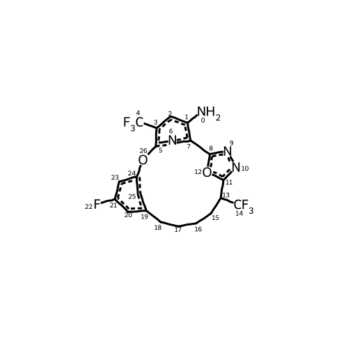 Nc1cc(C(F)(F)F)c2nc1-c1nnc(o1)C(C(F)(F)F)CCCCc1cc(F)cc(c1)O2